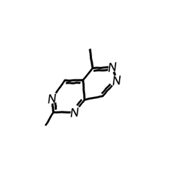 Cc1ncc2c(C)nncc2n1